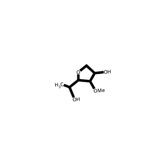 COC1C(O)COC1C(C)O